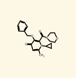 Cc1cc(=O)c(OCc2ccccc2)c(C(=O)N2CCOCC2)n1C1CC1